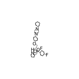 Fc1ccc(C2(Cc3ccc[nH]3)OCC(COc3ccc(N4CCN(c5ccccc5)CC4)cc3)O2)c(F)c1